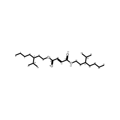 CCCCC(CCOC(=O)C=CC(=O)OCCC(CCCC)C(C)C)C(C)C